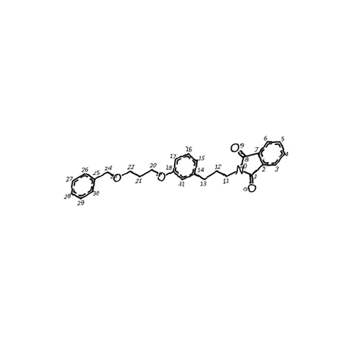 O=C1c2ccccc2C(=O)N1CCCc1cccc(OCCCOCc2ccccc2)c1